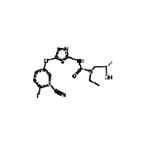 CCN(C[C@H](C)O)C(=O)Nc1ncc(Oc2ccc(F)c(C#N)c2)s1